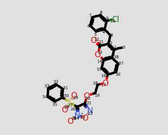 Cc1c(Cc2ccccc2Cl)c(=O)oc2cc(OCCOc3no[n+]([O-])c3S(=O)(=O)c3ccccc3)ccc12